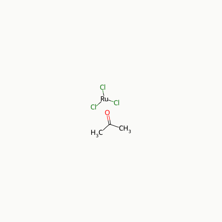 CC(C)=O.[Cl][Ru]([Cl])[Cl]